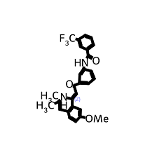 COc1ccc2c(c1)/C(=C/C(=O)c1cccc(NC(=O)c3cccc(C(F)(F)F)c3)c1)NC(C)(C)C2